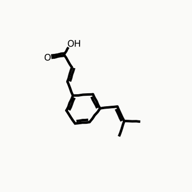 CC(C)=Cc1cccc(/C=C/C(=O)O)c1